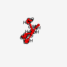 CCC1OC(OCCCCCC(=O)NCCCNC(O)C(CCCCNC(=O)OCc2ccccc2)N(CC(=O)NCCCNC(=O)CCCCCOC2OC(COC(C)=O)C(OC(C)=O)C(OC(C)=O)C2NC(C)=O)C(C=O)NCCCNC(=O)CCCCCOC2OC(COC(C)=O)C(OC(C)=O)C(OC(C)=O)C2NC(C)=O)C(NC(C)=O)C(OC(C)=O)C1OC(C)=O